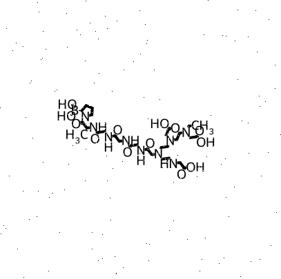 CCN(CCN(CCN(CCNCC(=O)O)CC(=O)NCC(=O)NCC(=O)NCC(=O)N[C@H](C)C(=O)N1CCC[C@H]1B(O)O)CC(=O)O)CC(=O)O